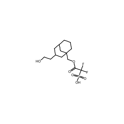 O=C(OCC12CCCC(CC(CCO)C1)C2)C(F)(F)S(=O)(=O)O